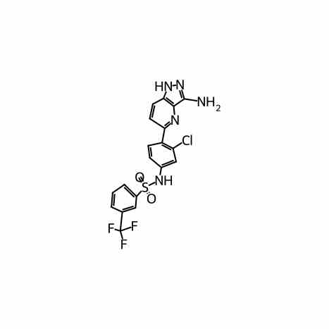 Nc1n[nH]c2ccc(-c3ccc(NS(=O)(=O)c4cccc(C(F)(F)F)c4)cc3Cl)nc12